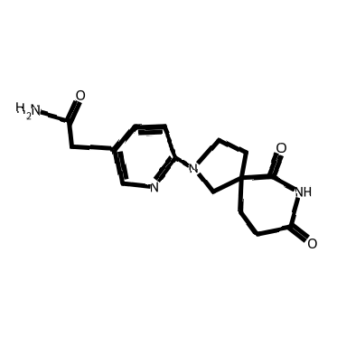 NC(=O)Cc1ccc(N2CCC3(CCC(=O)NC3=O)C2)nc1